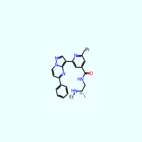 CCN[C@@H](C)CNC(=O)c1cc(-c2cnn3ccc(-c4ccccc4)nc23)nc(C(C)C)c1